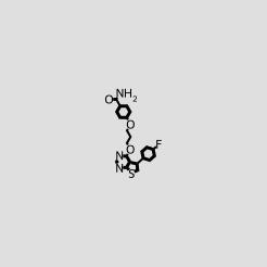 NC(=O)c1ccc(OCCCOc2ncnc3scc(-c4ccc(F)cc4)c23)cc1